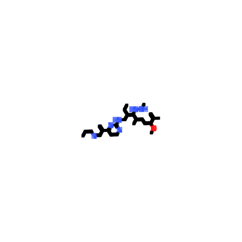 C=C(C)\C(=C/C=C(C)/C(NNC)=C(/CC)CNc1nccc(C(=C)/C=N\C=C/C)n1)OC